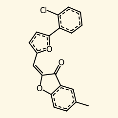 Cc1ccc2c(c1)C(=O)C(=Cc1ccc(-c3ccccc3Cl)o1)O2